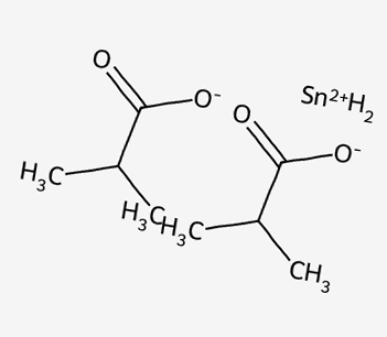 CC(C)C(=O)[O-].CC(C)C(=O)[O-].[SnH2+2]